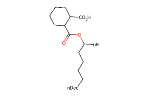 CCCCCCCCCCCCCCC(CCC)OC(=O)C1CCCCC1C(=O)O